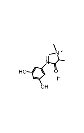 CC(C(=O)Nc1cc(O)cc(O)c1)[N+](C)(C)C.[I-]